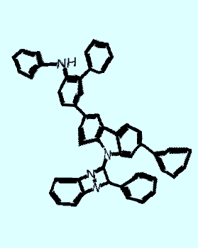 c1ccc(Nc2ccc(-c3ccc4c(c3)c3ccc(-c5ccccc5)cc3n4C3C(c4ccccc4)n4c5ccccc5n43)cc2-c2ccccc2)cc1